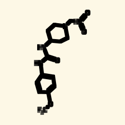 O=C(Nc1ccc(OC(F)(F)F)cc1)NC1CCN(C[SH](=O)=O)CC1